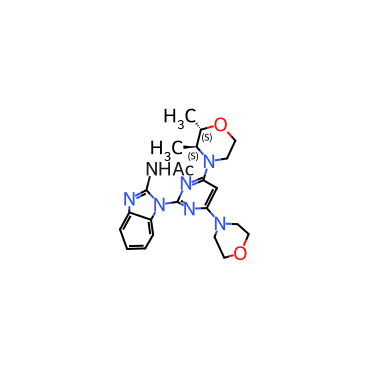 CC(=O)Nc1nc2ccccc2n1-c1nc(N2CCOCC2)cc(N2CCO[C@@H](C)[C@@H]2C)n1